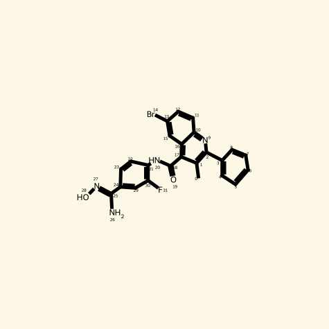 Cc1c(-c2ccccc2)nc2ccc(Br)cc2c1C(=O)Nc1ccc(/C(N)=N/O)cc1F